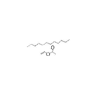 C=COC(C)=O.CCCCCCCCCCCC